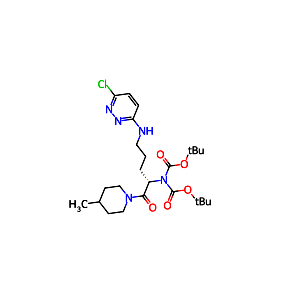 CC1CCN(C(=O)[C@H](CCCNc2ccc(Cl)nn2)N(C(=O)OC(C)(C)C)C(=O)OC(C)(C)C)CC1